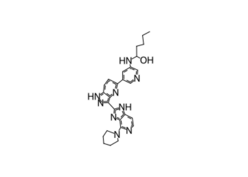 CCCCC(O)Nc1cncc(-c2ccc3[nH]nc(-c4nc5c(N6CCCCC6)nccc5[nH]4)c3n2)c1